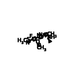 COCOc1cc(-c2cnc(C)s2)c(F)cc1-c1ccc(N2CCC(C)(NCC3CC3)C2)nn1